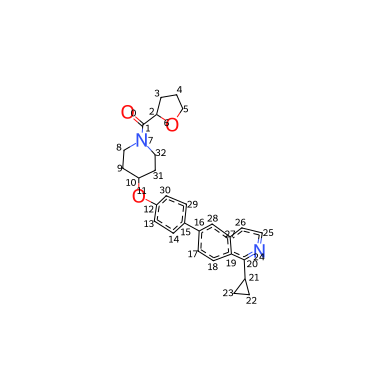 O=C(C1CCCO1)N1CCC(Oc2ccc(-c3ccc4c(C5CC5)nccc4c3)cc2)CC1